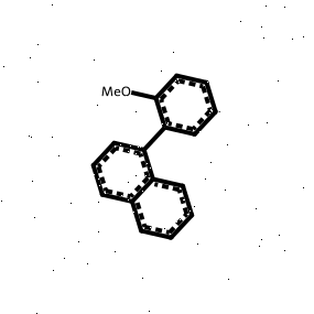 COc1cc[c]cc1-c1cccc2ccccc12